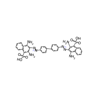 Nc1c(/N=N/c2ccc(-c3ccc(/N=N/c4c(N)c(S(=O)(=O)O)c5ccccc5c4N)cc3)cc2)c(N)c2ccccc2c1S(=O)(=O)O